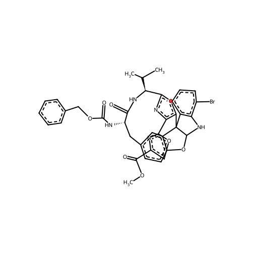 COC(=O)c1coc(-c2nc3oc2C24c5cc(ccc5OC2Nc2c(Br)cccc24)C[C@H](NC(=O)OCc2ccccc2)C(=O)N[C@H]3C(C)C)n1